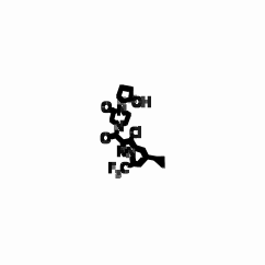 O=C(c1nn2c(C(F)(F)F)cc(C3CC3)cc2c1Cl)N1CCN([C@@H]2CC=C[C@H]2O)C(=O)C1